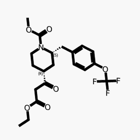 CCOC(=O)CC(=O)[C@@H]1CCN(C(=O)OC)[C@H](Cc2ccc(OC(F)(F)F)cc2)C1